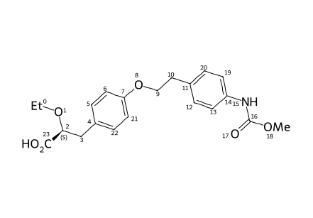 CCO[C@@H](Cc1ccc(OCCc2ccc(NC(=O)OC)cc2)cc1)C(=O)O